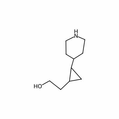 OCCC1CC1C1CCNCC1